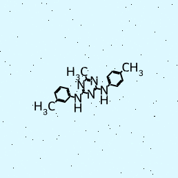 Cc1ccc(Nc2nc(C)nc(Nc3cccc(C)c3)n2)cc1